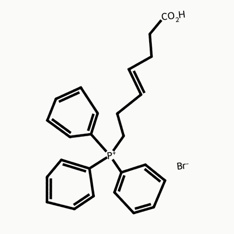 O=C(O)CCC=CCC[P+](c1ccccc1)(c1ccccc1)c1ccccc1.[Br-]